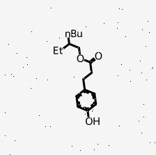 CCCCC(CC)COC(=O)CCc1ccc(O)cc1